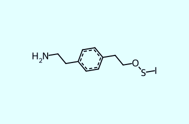 NCCc1ccc(CCOSI)cc1